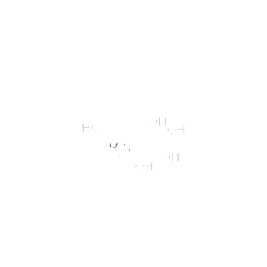 NCCO.O=C(O)c1ccccc1.OCC(O)CO